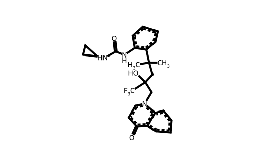 CC(C)(CC(O)(Cn1ccc(=O)c2ccccc21)C(F)(F)F)c1ccccc1NC(=O)NC1CC1